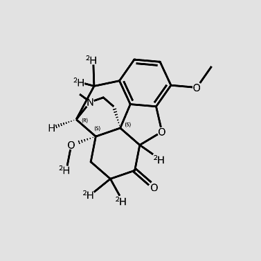 [2H]O[C@@]12CC([2H])([2H])C(=O)C3([2H])Oc4c(OC)ccc5c4[C@@]31CCN(C)[C@@H]2C5([2H])[2H]